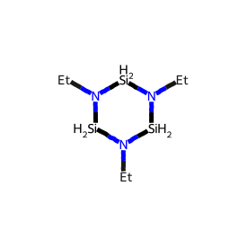 CCN1[SiH2]N(CC)[SiH2]N(CC)[SiH2]1